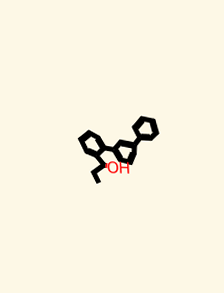 CCC(O)c1ccccc1-c1cccc(-c2ccccc2)c1